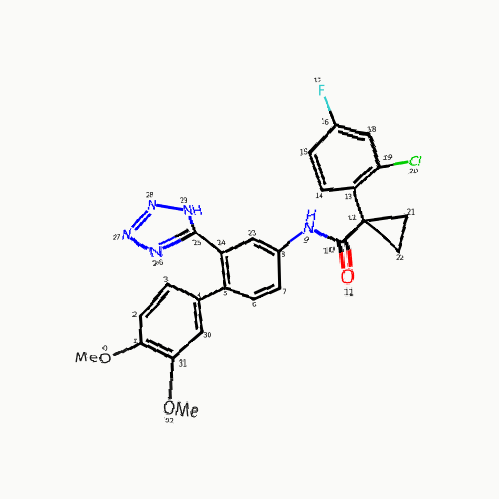 COc1ccc(-c2ccc(NC(=O)C3(c4ccc(F)cc4Cl)CC3)cc2-c2nnn[nH]2)cc1OC